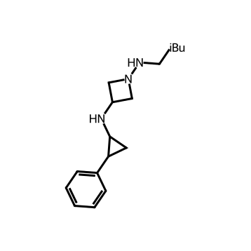 CCC(C)CNN1CC(NC2CC2c2ccccc2)C1